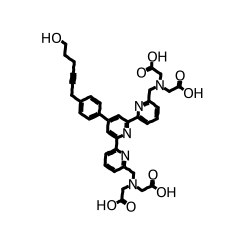 O=C(O)CN(CC(=O)O)Cc1cccc(-c2cc(-c3ccc(CC#CCCCO)cc3)cc(-c3cccc(CN(CC(=O)O)CC(=O)O)n3)n2)n1